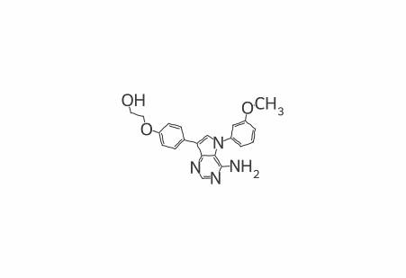 COc1cccc(-n2cc(-c3ccc(OCCO)cc3)c3ncnc(N)c32)c1